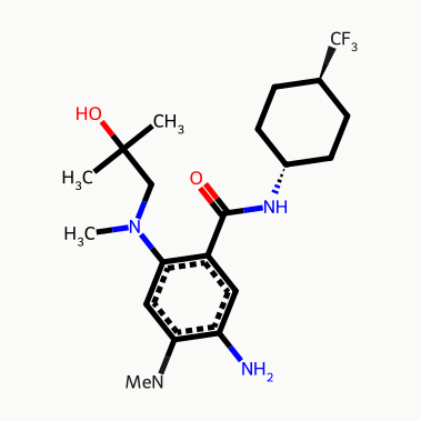 CNc1cc(N(C)CC(C)(C)O)c(C(=O)N[C@H]2CC[C@H](C(F)(F)F)CC2)cc1N